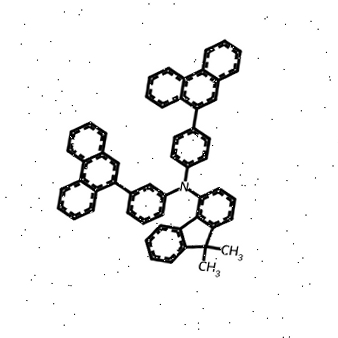 CC1(C)c2ccccc2-c2c(N(c3ccc(-c4cc5ccccc5c5ccccc45)cc3)c3cccc(-c4cc5ccccc5c5ccccc45)c3)cccc21